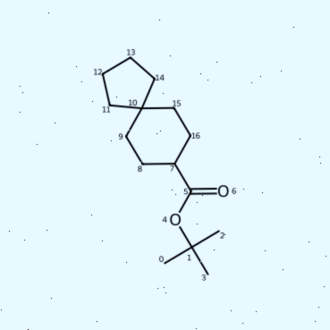 CC(C)(C)OC(=O)C1CCC2(CCCC2)CC1